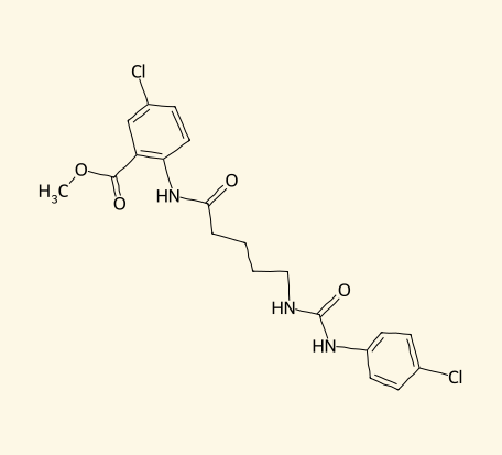 COC(=O)c1cc(Cl)ccc1NC(=O)CCCCNC(=O)Nc1ccc(Cl)cc1